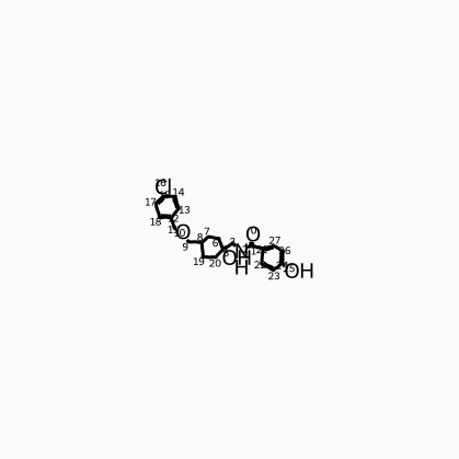 O=C(NCC1(O)CCC(COCc2ccc(Cl)cc2)CC1)c1ccc(O)cc1